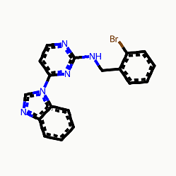 Brc1ccccc1CNc1nccc(-n2cnc3ccccc32)n1